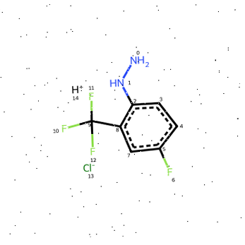 NNc1ccc(F)cc1C(F)(F)F.[Cl-].[H+]